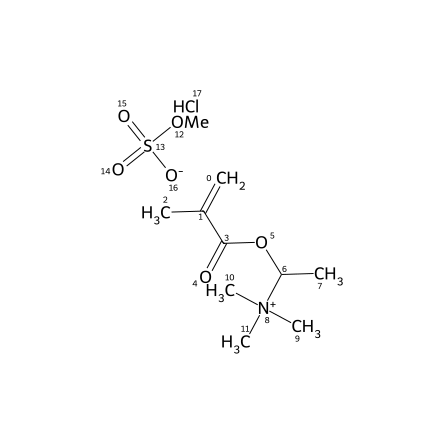 C=C(C)C(=O)OC(C)[N+](C)(C)C.COS(=O)(=O)[O-].Cl